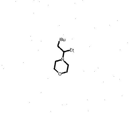 CCC(C)CC(CC)N1CCOCC1